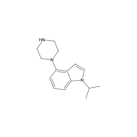 CC(C)n1ccc2c(N3CCNCC3)cccc21